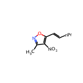 CCCC=Cc1onc(C)c1[N+](=O)[O-]